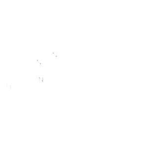 CC(C)Cn1cc(CCCCI)nn1